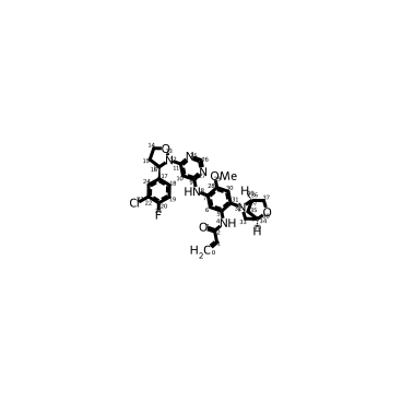 C=CC(=O)Nc1cc(Nc2cc(N3OCC[C@@H]3c3ccc(F)c(Cl)c3)ncn2)c(OC)cc1N1C[C@H]2C[C@@H]1CO2